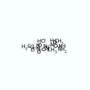 CCOC(=O)CCN(C(=O)c1ccc2c(c1)nc(CCNc1ccc(C(=N)N)cc1OC)n2C)c1ccccn1.Cl